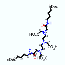 CCCCCCCCCCCCCCNC(=O)CN(CCN(CCN(CC(=O)O)CC(=O)NCCCCCCCCCCCCCC)CC(=O)O)CC(=O)O